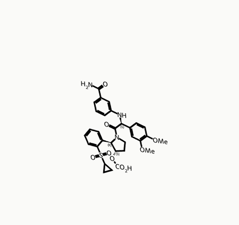 COc1ccc([C@H](Nc2cccc(C(N)=O)c2)C(=O)N2CC[C@H](OC(=O)O)[C@H]2c2ccccc2S(=O)(=O)C2CC2)cc1OC